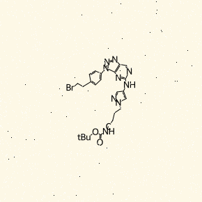 CC(C)(C)OC(=O)NCCCCn1cc(Nc2ncc3nnn(-c4ccc(CCBr)cc4)c3n2)cn1